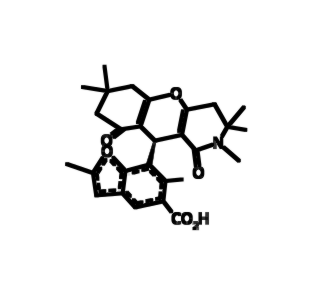 Cc1cc2cc(C(=O)O)c(C)c([C@H]3C4=C(CC(C)(C)CC4=O)OC4=C3C(=O)N(C)C(C)(C)C4)c2o1